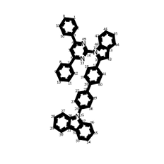 c1ccc(-c2cc(-c3ccccc3)nc(-n3c(-c4ccc(-c5ccc(-n6c7ccccc7c7ccccc76)cc5)cc4)cc4ccccc43)n2)cc1